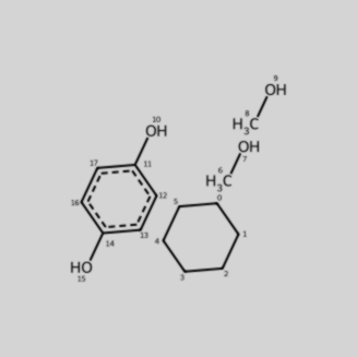 C1CCCCC1.CO.CO.Oc1ccc(O)cc1